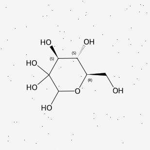 OC[C@H]1OC(O)C(O)(O)[C@@H](O)[C@@H]1O